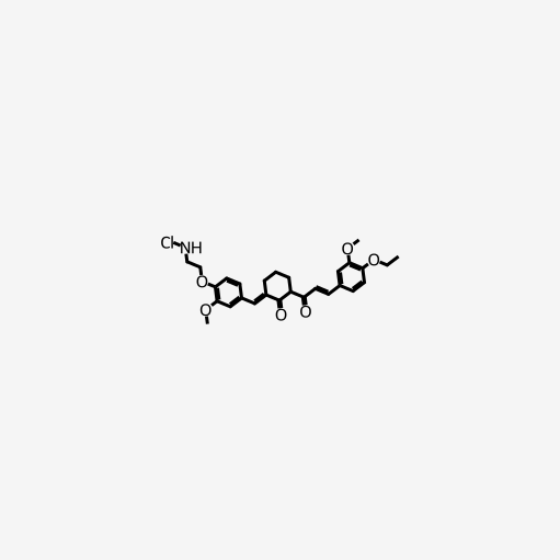 CCOc1ccc(/C=C/C(=O)C2CCC/C(=C\c3ccc(OCCNCl)c(OC)c3)C2=O)cc1OC